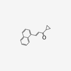 O=C(C=Cc1cccc2ccccc12)C1CC1